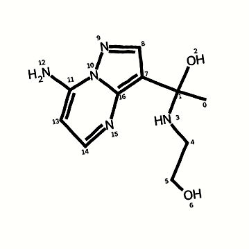 CC(O)(NCCO)c1cnn2c(N)ccnc12